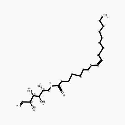 CCCCCCCC/C=C\CCCCCCCC(=O)OC[C@@H](O)[C@@H](O)[C@H](O)[C@@H](O)C=O